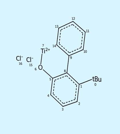 CC(C)(C)c1cccc([O][Ti+2])c1-c1ccccc1.[Cl-].[Cl-]